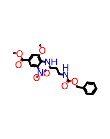 COC(=O)c1cc(OC)c(NCCCNC(=O)OCc2ccccc2)c([N+](=O)[O-])c1